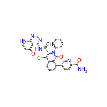 C[C@H](Nc1ncnc2[nH]ccc(=O)c12)c1c(Cl)c2cccc(-c3ccc(C(N)=O)nc3)c2c(=O)n1-c1ccccc1